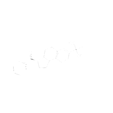 O=C([C@@H]1CCC2c3ccc(C(F)(C(F)(F)F)C(F)(F)F)cc3CCC21)N1CCOCC1